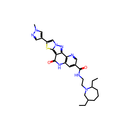 CCC1CCCC(CC)N(CCNC(=O)c2cnc3c(c2)[nH]c(=O)c2c3nn3cc(-c4cnn(C)c4)sc23)C1